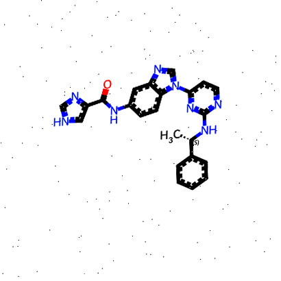 C[C@H](Nc1nccc(-n2cnc3cc(NC(=O)c4c[nH]cn4)ccc32)n1)c1ccccc1